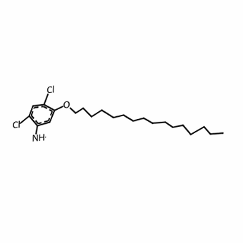 CCCCCCCCCCCCCCCCOc1cc([NH])c(Cl)cc1Cl